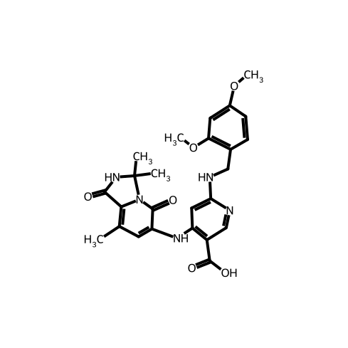 COc1ccc(CNc2cc(Nc3cc(C)c4n(c3=O)C(C)(C)NC4=O)c(C(=O)O)cn2)c(OC)c1